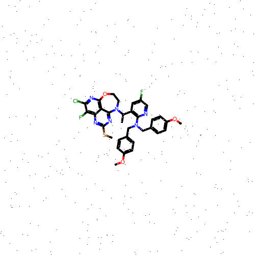 COc1ccc(CN(Cc2ccc(OC)cc2)c2ncc(F)cc2C(C)N2CCOc3nc(Cl)c(F)c4nc(SC)nc2c34)cc1